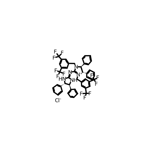 FC(F)(F)c1cc(CN2C(N=C3N[C@@H](c4ccccc4)[C@H](c4ccccc4)N3)=[N+](Cc3cc(C(F)(F)F)cc(C(F)(F)F)c3)[C@@H](c3ccccc3)[C@@H]2c2ccccc2)cc(C(F)(F)F)c1.[Cl-]